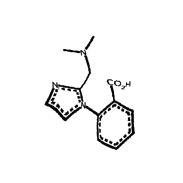 CN(C)Cc1nccn1-c1ccccc1C(=O)O